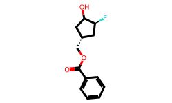 O=C(OC[C@@H]1CC(O)[C@@H](F)C1)c1ccccc1